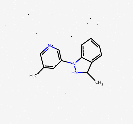 Cc1cncc(N2NC(C)c3ccccc32)c1